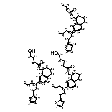 CCCN(CCc1cccs1)c1ccc2c(c1)C(OC(=O)CCCCO)CCC2.CCCN(CCc1cccs1)c1ccc2c(c1)C(OC(=O)CCCO)CCC2.CCCN(CCc1cccs1)c1ccc2c(c1)C(OC(=O)OCC)CCC2